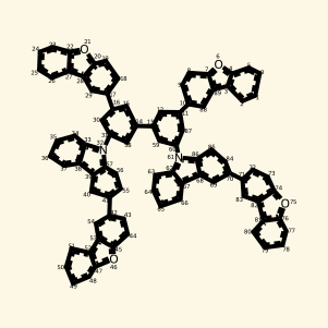 c1ccc2c(c1)oc1ccc(-c3cc(-c4cc(-c5ccc6oc7ccccc7c6c5)cc(-n5c6ccccc6c6cc(-c7ccc8oc9ccccc9c8c7)ccc65)c4)cc(-n4c5ccccc5c5cc(-c6ccc7oc8ccccc8c7c6)ccc54)c3)cc12